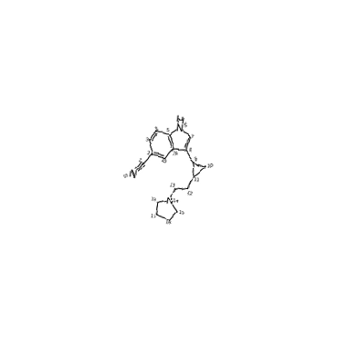 N#Cc1ccc2[nH]cc(C3CC3CCN3CCCC3)c2c1